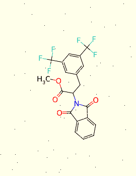 COC(=O)C(Cc1cc(C(F)(F)F)cc(C(F)(F)F)c1)N1C(=O)c2ccccc2C1=O